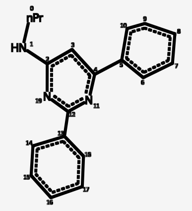 CCCNc1cc(-c2ccccc2)nc(-c2ccccc2)n1